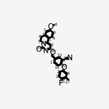 COc1ccc2c(c1)CCn1c-2cc(OCc2ccc(Oc3ccc(F)c(C)c3)c(C#N)c2)nc1=O